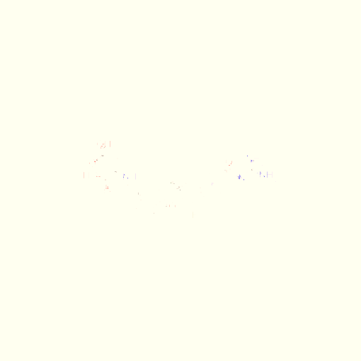 C/C(=C\c1cc(F)c(Oc2ccc(SNC(CC(=O)O)C(=O)O)cc2)c(F)c1)C(=O)N=C(N)N